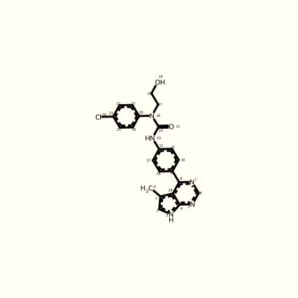 Cc1c[nH]c2ncnc(-c3ccc(NC(=O)N(CCO)c4ccc(Cl)cc4)cc3)c12